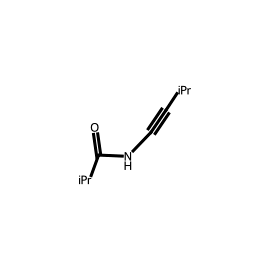 CC(C)C#CNC(=O)C(C)C